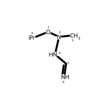 CC(C)ON(C)NC=N